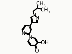 CC(C)Cn1cc(-c2ccnc(-n3ccc(=O)c(O)c3)c2)cn1